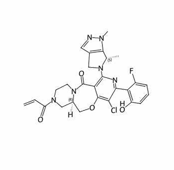 C=CC(=O)N1CCN2C(=O)c3c(N4Cc5cnn(C)c5[C@@H]4C)nc(-c4c(O)cccc4F)c(Cl)c3OC[C@H]2C1